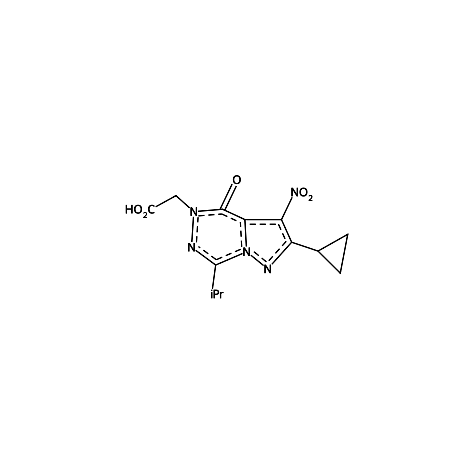 CC(C)c1nn(CC(=O)O)c(=O)c2c([N+](=O)[O-])c(C3CC3)nn12